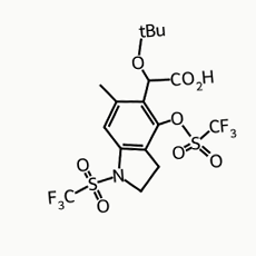 Cc1cc2c(c(OS(=O)(=O)C(F)(F)F)c1C(OC(C)(C)C)C(=O)O)CCN2S(=O)(=O)C(F)(F)F